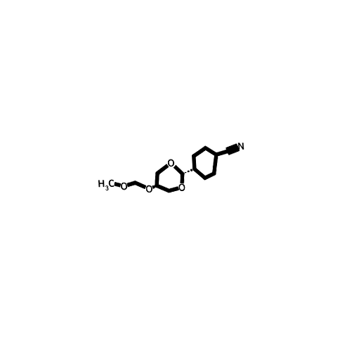 COCO[C@H]1CO[C@H](C2CCC(C#N)CC2)OC1